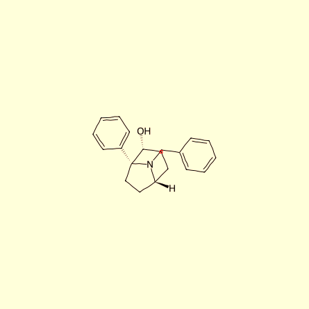 O[C@@H]1CC[C@@H]2CC[C@]1(c1ccccc1)N2Cc1ccccc1